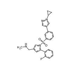 CNCc1cc(-c2ccccc2F)n(S(=O)(=O)c2cccc(-c3cnn(C4CC4)c3)c2)c1